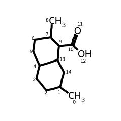 CC1CCC2CCC(C)C(C(=O)O)C2C1